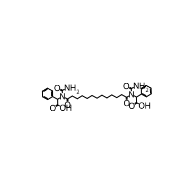 NC(=O)N(C(=O)CCCCCCCCCCCC(=O)N(C(N)=O)C(C(=O)O)c1ccccc1)C(C(=O)O)c1ccccc1